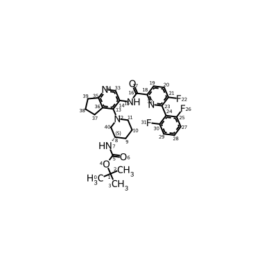 CC(C)(C)OC(=O)N[C@H]1CCCN(c2c(NC(=O)c3ccc(F)c(-c4c(F)cccc4F)n3)cnc3c2CCC3)C1